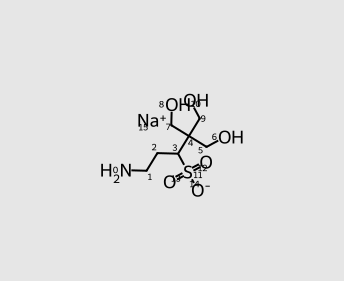 NCCC(C(CO)(CO)CO)S(=O)(=O)[O-].[Na+]